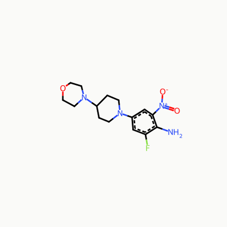 Nc1c(F)cc(N2CCC(N3CCOCC3)CC2)cc1[N+](=O)[O-]